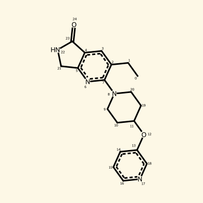 CCc1cc2c(nc1N1CCC(Oc3cccnc3)CC1)CNC2=O